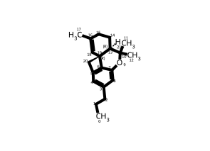 CCCc1cc2c3c(c1)OC(C)(C)[C@@H]1CCC(C)=C[C@@]31C2